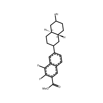 CCCC1CC[C@@H]2CC(c3ccc4cc(C(=O)OC)c(F)c(F)c4c3)CC[C@H]2C1